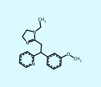 CCN1CCN=C1CC(c1cccc(OC)c1)c1ccccn1